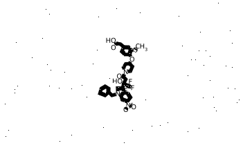 COc1cc(CC(=O)O)ccc1OC1CCN(C(=O)CC(O)(c2cn(Cc3ccccc3)c3cc([N+](=O)[O-])ccc23)C(F)(F)F)CC1